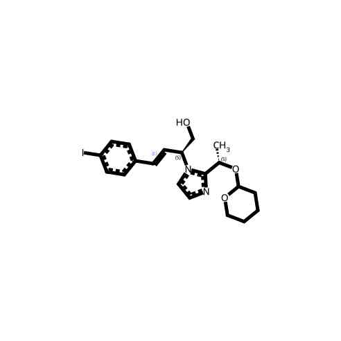 C[C@H](OC1CCCCO1)c1nccn1[C@@H](/C=C/c1ccc(I)cc1)CO